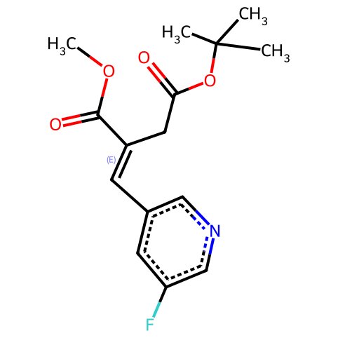 COC(=O)/C(=C/c1cncc(F)c1)CC(=O)OC(C)(C)C